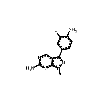 Cn1nc(-c2ccc(N)c(F)c2)c2cnc(N)nc21